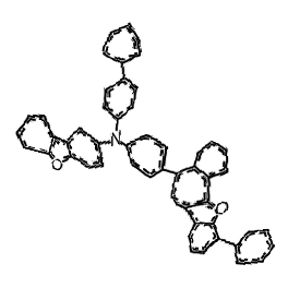 c1ccc(-c2ccc(N(c3ccc(-c4cc5c6cccc(-c7ccccc7)c6oc5c5ccccc45)cc3)c3ccc4oc5ccccc5c4c3)cc2)cc1